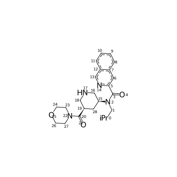 CC(C)CN(C(=O)c1cc2ccccc2cn1)[C@@H]1CNC[C@H](C(=O)N2CCOCC2)C1